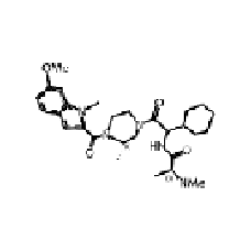 CN[C@@H](C)C(=O)NC(C(=O)N1CCN(C(=O)c2cc3ccc(OC)cc3n2C)[C@@H](C)C1)C1CCCCC1